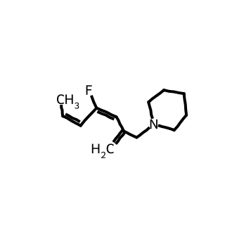 C=C(/C=C(F)\C=C/C)CN1CCCCC1